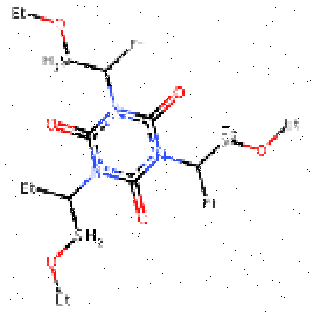 CCO[SiH2]C(CC)n1c(=O)n(C(CC)[SiH2]OCC)c(=O)n(C(CC)[SiH2]OCC)c1=O